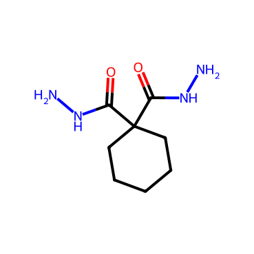 NNC(=O)C1(C(=O)NN)CCCCC1